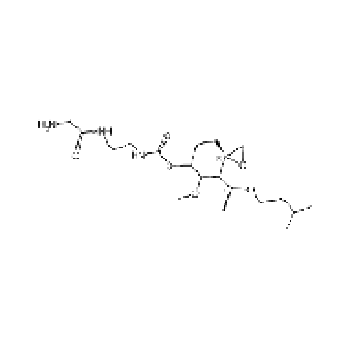 COC1C(OC(=O)NCCNC(=O)CN)CC[C@]2(CO2)C1[C@H](C)OCCC(C)C